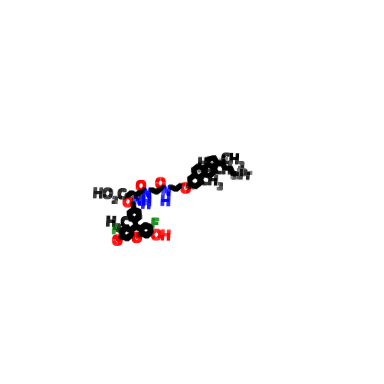 Cc1cc(C(=O)N[C@@H](CCC(=O)O)C(=O)NCCC(=O)NCCCO[C@H]2CCC3(C)C(=CC[C@@H]4C3CCC3(C)C([C@H](C)CCCC(C)C)CC[C@@H]43)C2)ccc1-c1c2cc(F)c(=O)cc-2oc2cc(O)c(F)cc12